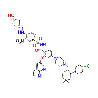 CC1(C)CCC(CN2CCN(c3ccc(C(=O)NS(=O)(=O)c4ccc(NC[C@@H]5CC[C@H](O)C5)c([N+](=O)[O-])c4)c(Oc4cnc5[nH]ccc5c4)c3)CC2)=C(c2ccc(Cl)cc2)C1